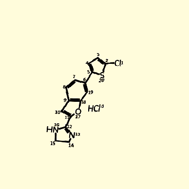 Cl.Clc1ccc(-c2ccc3cc(C4=NCCN4)oc3c2)s1